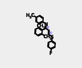 Cc1ccc(/N=C(/C=C/Sc2ccc(F)cc2)c2c(C)cccc2C)cc1